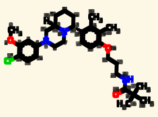 COc1cc(N2CCN3[C@@H](CCC[C@@H]3c3ccc(OCCCNC(=O)C(C)(C)C)c(C)c3C)C2)ccc1Cl